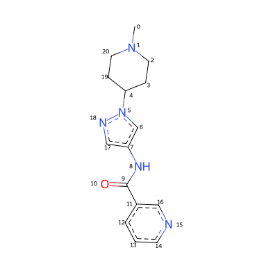 CN1CCC(n2cc(NC(=O)c3cccnc3)cn2)CC1